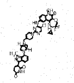 Cn1nc(C2CCC(=O)NC2=O)c2cccc(N3C[C@H]4C[C@@H]3CN4CC3CCN(c4ncc(Cl)c(Nc5ccc6c(c5)c5c(c(=O)n6C)OCC(F)(F)[C@H](C6CC6)N5)n4)CC3)c21